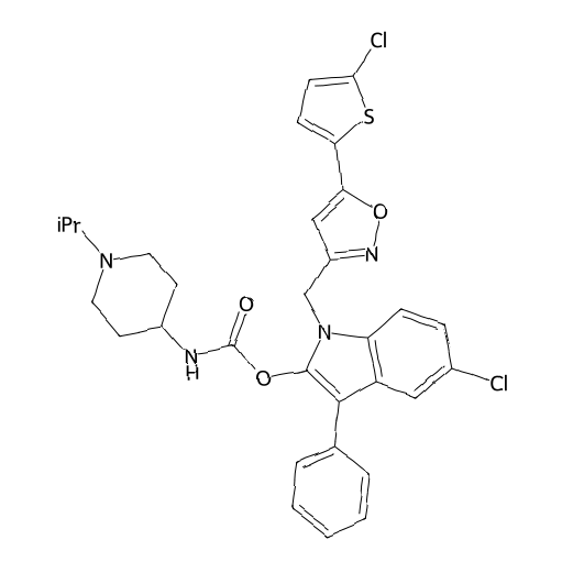 CC(C)N1CCC(NC(=O)Oc2c(-c3ccccc3)c3cc(Cl)ccc3n2Cc2cc(-c3ccc(Cl)s3)on2)CC1